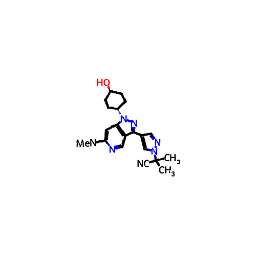 CNc1cc2c(cn1)c(-c1cnn(C(C)(C)C#N)c1)nn2[C@H]1CC[C@H](O)CC1